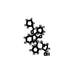 CN(C(=O)C(OCc1ccccc1)(c1ccccc1)c1ccccc1)[C@H](CN1CC[C@H](O)C1)c1ccccc1